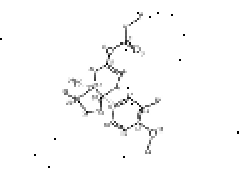 CCC(=O)OC1=CC[C@@]2(c3ccc(OC)c(C)c3)CCN(C)[C@H]2C1